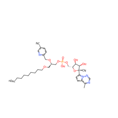 CCCCCCCCCCCCCCCCCCOC[C@H](COP(=O)(O)OC[C@H]1O[C@@](C#N)(c2ccc3c(C)ncnn23)[C@H](O)[C@@H]1O)OCc1ccc(C#N)cn1